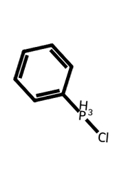 Cl[PH3]c1ccccc1